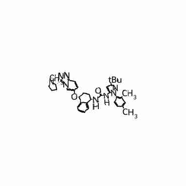 Cc1ccc(-n2nc(C(C)(C)C)cc2NC(=O)N[C@H]2CC[C@@H](Oc3ccc4nnc([C@@H]5CCCN5C)n4c3)c3ccccc32)c(C)c1